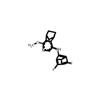 COc1ncc(NC2=C3C(F)=C4C(F)=C2C43)c2c1C1CCC2C1